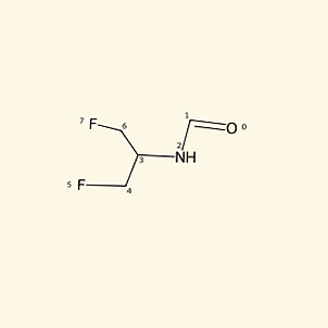 O=CNC(CF)CF